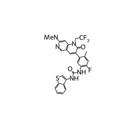 CNc1cc2c(cn1)cc(-c1cc(NC(=O)Nc3csc4ccccc34)c(F)cc1C)c(=O)n2CC(F)(F)F